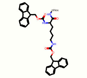 CCCCCCNC(=O)C(CCCCNC(=O)OCC1c2ccccc2-c2ccccc21)NC(=O)OCC1c2ccccc2-c2ccccc21